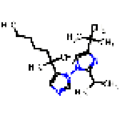 CCCCCC(C)(C)c1cncn1-n1cc(C(C)(C)C)nc1C(C)C